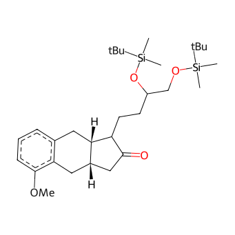 COc1cccc2c1C[C@H]1CC(=O)C(CCC(CO[Si](C)(C)C(C)(C)C)O[Si](C)(C)C(C)(C)C)[C@H]1C2